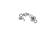 Nc1cccc(N2CCN(CC3CCN(S(=O)(=O)c4ccccc4)CC3)CC2)c1